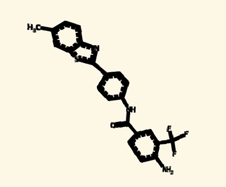 Cc1ccc2nc(-c3ccc(NC(=O)c4ccc(N)c(C(F)(F)F)c4)cc3)sc2c1